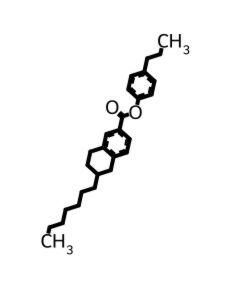 CCCCCCCC1CCc2cc(C(=O)Oc3ccc(CCC)cc3)ccc2C1